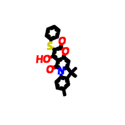 Cc1ccc2c(c1)C(C)(C)c1cc3oc(=O)c(Sc4ccccc4)c(O)c3c(=O)n1-2